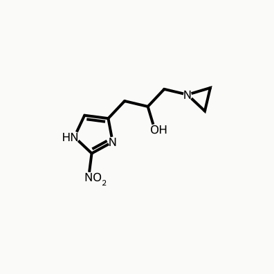 O=[N+]([O-])c1nc(CC(O)CN2CC2)c[nH]1